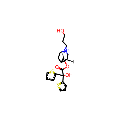 O=C(O[C@H]1C[N+]2(CCCO)CCC1CC2)C(O)(c1cccs1)c1cccs1